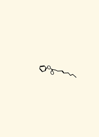 CCCCC=CCCC(=O)Oc1ccccc1